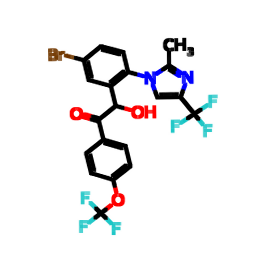 Cc1nc(C(F)(F)F)cn1-c1ccc(Br)cc1C(O)C(=O)c1ccc(OC(F)(F)F)cc1